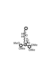 COc1cc(OC)cc(-c2cc(-c3cc(OC)cc(OC)c3)n(CCCCNC(=O)NOCc3ccccc3)c2C(N)=O)c1